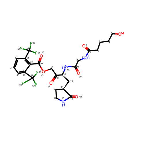 O=C(CCCCO)NCC(=O)N[C@@H](C[C@@H]1CCNC1=O)C(=O)COC(=O)c1c(C(F)(F)F)cccc1C(F)(F)F